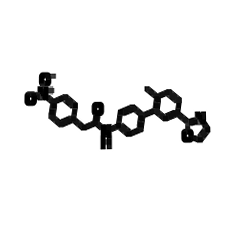 Cc1ccc(-c2ncco2)cc1-c1ccc(NC(=O)Cc2ccc([N+](=O)[O-])cc2)cc1